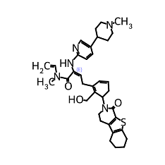 C=CN(C)C(=O)/C(=C\CC1=C(CO)C(N2CCc3c(sc4c3CCCC4)C2=O)CC=C1)Nc1ccc(C2CCN(C)CC2)cn1